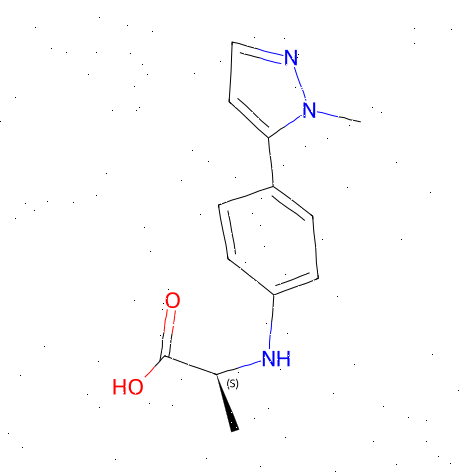 C[C@H](Nc1ccc(-c2ccnn2C)cc1)C(=O)O